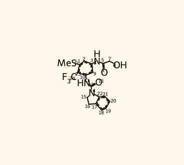 CSc1cc(NC(=O)CO)cc(NC(=O)N2CCc3ccccc32)c1C(F)(F)F